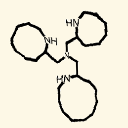 C1CCCCNC(CN(CC2CCCCCCCN2)CC2CCCCCCN2)CCCC1